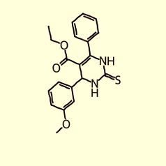 CCOC(=O)C1=C(c2ccccc2)NC(=S)NC1c1cccc(OC)c1